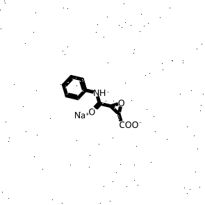 O=C([O-])C1OC1C(=O)Nc1ccccc1.[Na+]